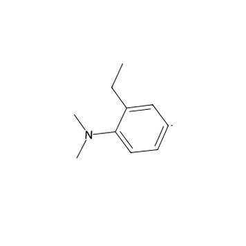 CCc1c[c]ccc1N(C)C